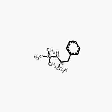 C[Si](C)(C)N[C@@H](Cc1ccccc1)C(=O)O